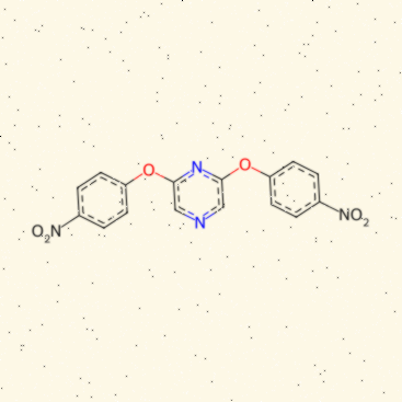 O=[N+]([O-])c1ccc(Oc2cncc(Oc3ccc([N+](=O)[O-])cc3)n2)cc1